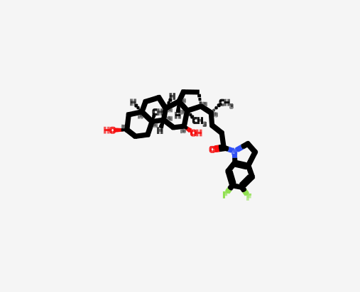 C[C@H](CCC(=O)N1CCc2cc(F)c(F)cc21)[C@H]1CC[C@H]2[C@@H]3CC[C@@H]4C[C@H](O)CC[C@]4(C)[C@H]3C[C@H](O)[C@]12C